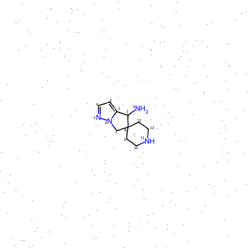 NC1c2ccnn2CC12CCNCC2